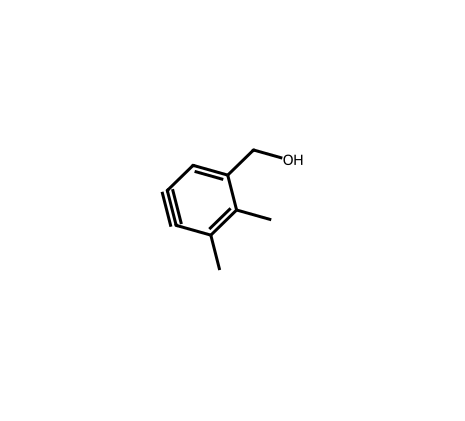 Cc1c#ccc(CO)c1C